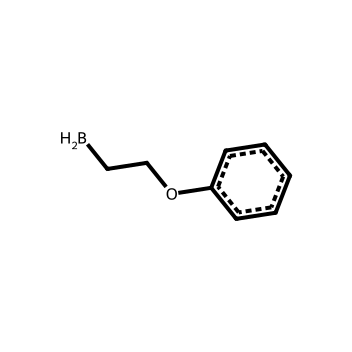 BCCOc1ccccc1